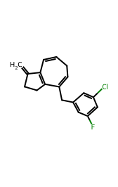 C=C1CCC2=C1C=CCC=C2Cc1cc(F)cc(Cl)c1